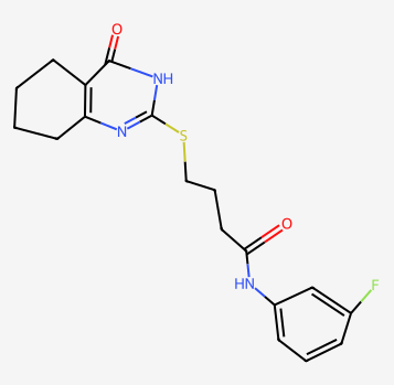 O=C(CCCSc1nc2c(c(=O)[nH]1)CCCC2)Nc1cccc(F)c1